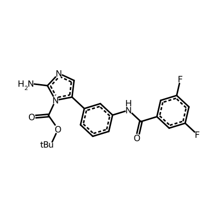 CC(C)(C)OC(=O)n1c(-c2cccc(NC(=O)c3cc(F)cc(F)c3)c2)cnc1N